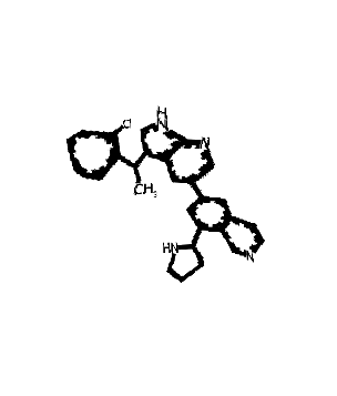 CC(c1ccccc1Cl)c1c[nH]c2ncc(-c3cc(C4CCCN4)c4cnccc4c3)cc12